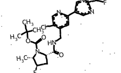 C[C@H]1[C@H](F)C[C@@H](C(=O)NCc2cc(-c3cnc(CF)nc3)ncc2Cl)N1C(=O)OC(C)(C)C